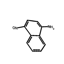 Nc1ccc(N=O)c2ccccc12